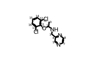 CC(NCc1cnccn1)Oc1c(Cl)cccc1Cl